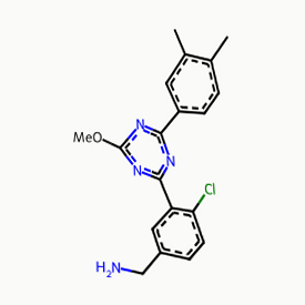 COc1nc(-c2ccc(C)c(C)c2)nc(-c2cc(CN)ccc2Cl)n1